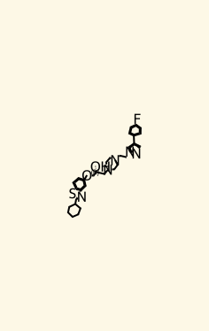 O[C@@H](COc1ccc2sc(C3CCCCC3)nc2c1)CN1CCN(CCn2cc(-c3ccc(F)cc3)cn2)CC1